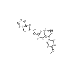 COc1ccc(C2CNCc3cc(OCCCN4CCOC[C@@H]4C)ccc32)cc1